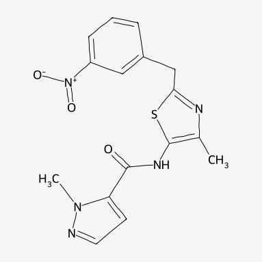 Cc1nc(Cc2cccc([N+](=O)[O-])c2)sc1NC(=O)c1ccnn1C